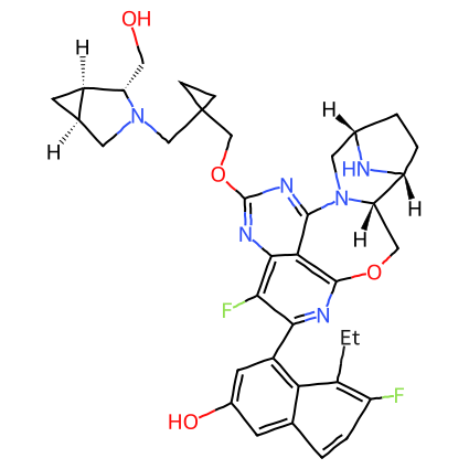 CCc1c(F)ccc2cc(O)cc(-c3nc4c5c(nc(OCC6(CN7C[C@H]8C[C@H]8[C@@H]7CO)CC6)nc5c3F)N3C[C@@H]5CC[C@@H](N5)[C@@H]3CO4)c12